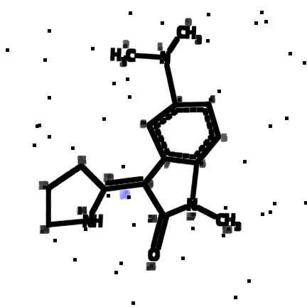 CN(C)c1ccc2c(c1)/C(=C1\CCCN1)C(=O)N2C